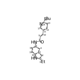 CCc1cc2cc(NC(=O)/C=C/c3ccc(C(C)(C)C)nc3)ccc2[nH]1